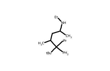 CCNC(C)CC(C)C(P)(C(C)C)C(C)(C)C